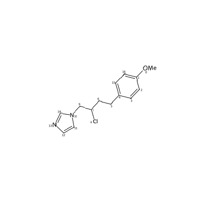 COc1ccc(CCC(Cl)Cn2ccnc2)cc1